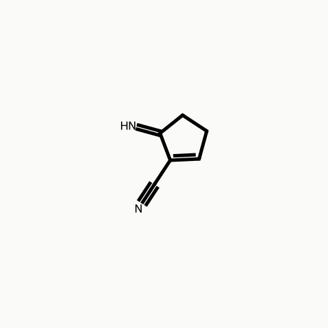 N#CC1=CCCC1=N